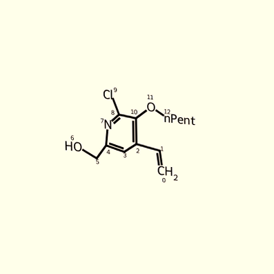 C=Cc1cc(CO)nc(Cl)c1OCCCCC